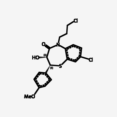 COc1ccc([C@H]2Sc3cc(Cl)ccc3N(CCCCl)C(=O)[C@H]2O)cc1